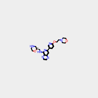 c1cnc2c(NC[C@@H]3CNCCO3)nc(-c3ccc(OCCN4CCOCC4)nc3)cc2n1